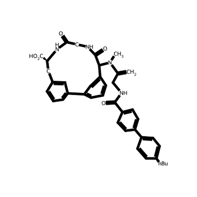 C=C(CNC(=O)c1ccc(-c2ccc(CCCC)cc2)cc1)N(C)C1C(=O)NCC(=O)N[C@H](C(=O)O)Cc2cccc(c2)-c2cccc1c2